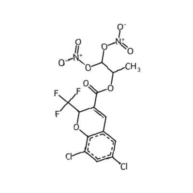 CC(OC(=O)C1=Cc2cc(Cl)cc(Cl)c2OC1C(F)(F)F)C(O[N+](=O)[O-])O[N+](=O)[O-]